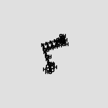 C[N+](C)(C)CCO.C[N+](C)(C)CCO.C[N+](C)(C)CCO.C[N+](C)(C)CCO.C[N+](C)(C)CCO.C[N+](C)(C)CCO.Cl.O=C(O)C(O)C(O)C(=O)O.O=C(O)CC(O)(CC(=O)O)C(=O)O